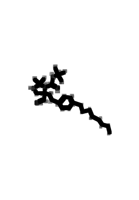 CCCCCCCCc1ccc(CCC2(C=O)COC(C)(C)N2C(=O)OC(C)(C)C)cc1